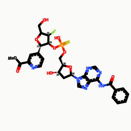 COC(=O)c1cc([C@@H]2OC(CO)[C@@H](F)[C@H]2OP(O)(=S)OC[C@H]2O[C@@H](n3cnc4c(NC(=O)c5ccccc5)ncnc43)C[C@@H]2O)ccn1